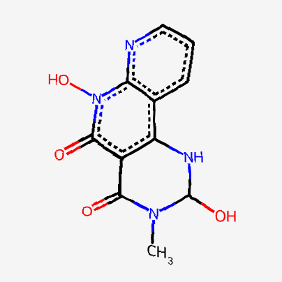 CN1C(=O)c2c(c3cccnc3n(O)c2=O)NC1O